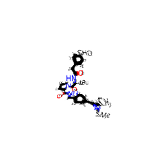 CSN1C(C)=C1c1ccc(CNC(=O)[C@@H]2CCCN2C(=O)[C@@H](NC(=O)Cc2ccc(C=O)cc2)C(C)(C)C)cc1